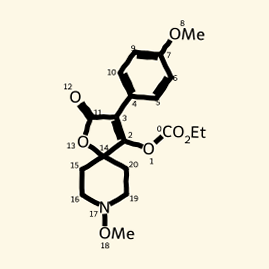 CCOC(=O)OC1=C(c2ccc(OC)cc2)C(=O)OC12CCN(OC)CC2